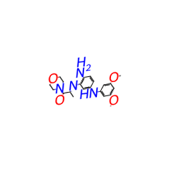 COc1cc(Nc2ccc(N)c(/N=C(\C)C(=O)N3CCOCC3)c2)cc(OC)c1